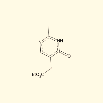 CCOC(=O)Cc1cnc(C)[nH]c1=O